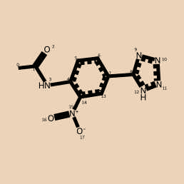 CC(=O)Nc1ccc(-c2nnn[nH]2)cc1[N+](=O)[O-]